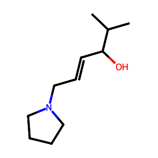 CC(C)C(O)/C=C/CN1CCCC1